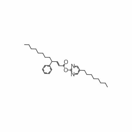 CCCCCCCCc1cnc(OC(=O)/C=C/C(CCCCCCCC)c2ccccc2)nc1